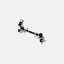 N#Cc1cnc2c(cnn2-c2cc(NC3CC3)c(C(=O)NCC(F)COCCCCCNC(=O)COc3cccc4c3C(=O)N(C3CCC(=O)NC3=O)C4=O)cn2)c1